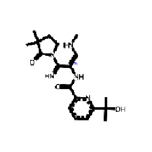 CN/C=C(/NC(=O)c1cccc(C(C)(C)O)n1)C(=N)N1CCC(C)(C)C1=O